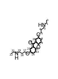 CCNCCCOc1ccc2oc3ccc(OCCCNCC)cc3c(=O)c2c1